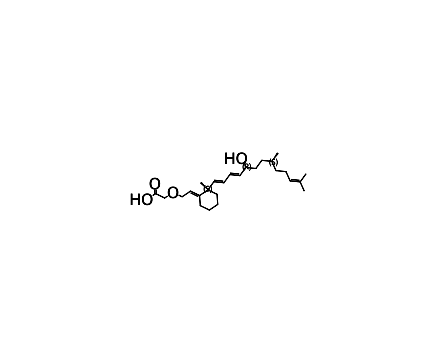 CC(C)=CCC[C@H](C)CC[C@@H](O)C=CC=C[C@]1(C)CCCCC1=CCOCC(=O)O